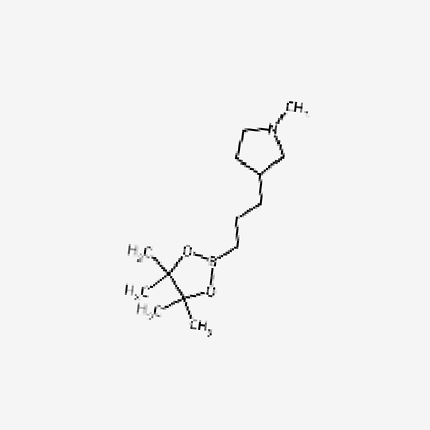 CN1CCC(CCCB2OC(C)(C)C(C)(C)O2)C1